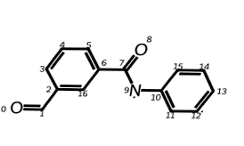 O=Cc1cccc(C(=O)[N]c2c[c]ccc2)c1